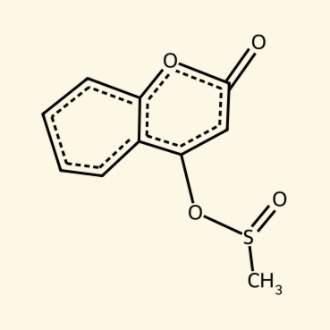 CS(=O)Oc1cc(=O)oc2ccccc12